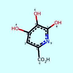 O=C(O)c1cc(O)c(O)c(O)n1